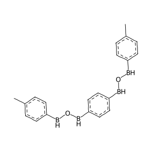 Cc1ccc(BOBc2ccc(BOBc3ccc(C)cc3)cc2)cc1